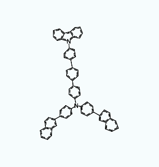 c1ccc2cc(-c3ccc(N(c4ccc(-c5ccc(-c6ccc(-n7c8ccccc8c8ccccc87)cc6)cc5)cc4)c4ccc(-c5ccc6ccccc6c5)cc4)cc3)ccc2c1